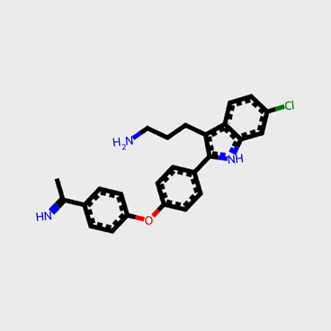 CC(=N)c1ccc(Oc2ccc(-c3[nH]c4cc(Cl)ccc4c3CCCN)cc2)cc1